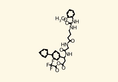 COc1ccccc1NC(=O)NCCCC(=O)NCC(=O)NC(CC(=O)OC(=O)C(F)(F)F)c1ccc(-c2ccccc2)cc1